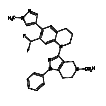 Cn1cc(-c2cc3c(cc2C(F)F)N(c2nn(-c4ccccc4)c4c2CN(C(=O)O)CC4)CCC3)cn1